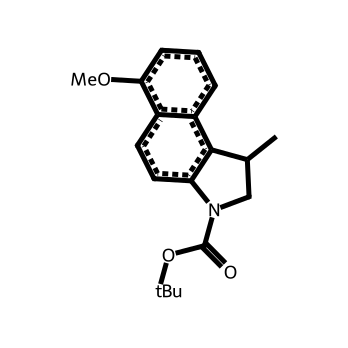 COc1cccc2c3c(ccc12)N(C(=O)OC(C)(C)C)CC3C